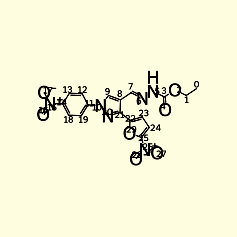 CCOC(=O)N/N=C/c1cn(-c2ccc([N+](=O)[O-])cc2)nc1-c1ccc([N+](=O)[O-])o1